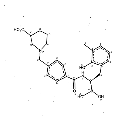 Cc1cccc(C[C@H](NC(=O)c2ccc(CN3CCCC(C(=O)O)C3)cc2)B(O)O)c1O